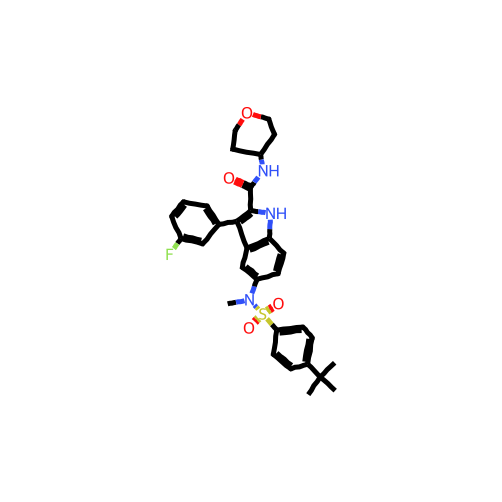 CN(c1ccc2[nH]c(C(=O)NC3CCOCC3)c(-c3cccc(F)c3)c2c1)S(=O)(=O)c1ccc(C(C)(C)C)cc1